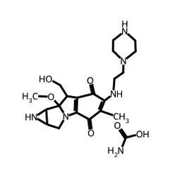 COC12C(CO)C3=C(C(=O)C(C)=C(NCCN4CCNCC4)C3=O)N1CC1NC12.NC(=O)O